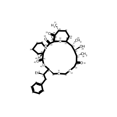 CC[C@H](Cc1ccccc1)[C@@H]1CCCCCC(=O)[C@@H](C)[C@H](O)[C@@H](C)[C@@H]2CC[C@@H](C)C(=O)C(O)(O2)C(=O)N2CCCC[C@H]2C(=O)O1